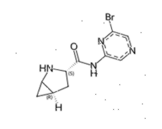 O=C(Nc1cncc(Br)n1)[C@@H]1C[C@H]2CC2N1